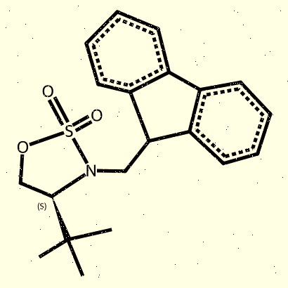 CC(C)(C)[C@H]1COS(=O)(=O)N1CC1c2ccccc2-c2ccccc21